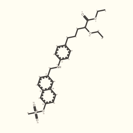 CCOC(=O)C(CCCc1ccc(NCc2ccc3cc(OS(C)(=O)=O)ccc3c2)cc1)OCC